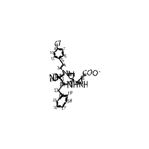 O=C(NCCc1ccc(Cl)cc1)[C@H](Cc1ccccc1)NC(=O)[C@H]1N[C@@H]1C(=O)[O-].[Na+]